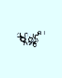 COc1ccc(Cl)c(Cl)c1[C@H]1C[C@H]2C(CCO)OC(=O)N2C1